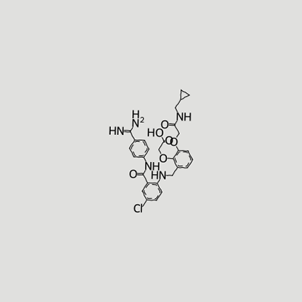 N=C(N)c1ccc(NC(=O)c2cc(Cl)ccc2NCc2cccc(OCC(=O)NCC3CC3)c2OCC(=O)O)cc1